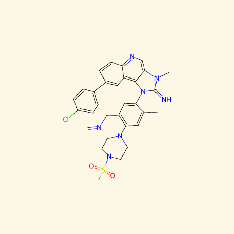 C=NCc1cc(-n2c(=N)n(C)c3cnc4ccc(-c5ccc(Cl)cc5)cc4c32)c(C)cc1N1CCN(S(C)(=O)=O)CC1